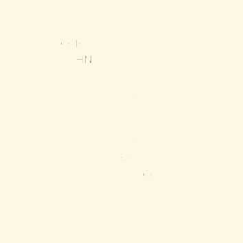 O=CNCCCC(CCCOC1CCCCO1)(c1ccccc1)c1ccccc1